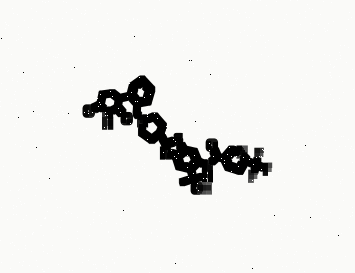 CC(C)(O)c1cc2nc(C3CCN(Cc4ccccc4C4CCC(=O)NC4=O)CC3)sc2cc1NC(=O)c1ccc(C(F)(F)F)nc1